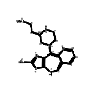 CCCCc1nc2c(s1)NC=c1cccnc1=C2N1CCNC(CCOC)C1